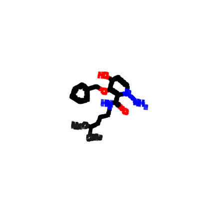 COC(CCCNC(=O)C1=C(OCc2ccccc2)C(O)C=CN1N)OC